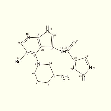 NC1CCCN(c2c(Br)cnc3[nH]cc(NC(=O)c4cn[nH]c4)c23)C1